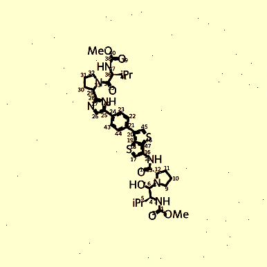 COC(=O)N[C@@H](C(C)C)C(O)N1CCC[C@H]1C(=O)Nc1csc2c(-c3ccc(-c4cnc(C5CCCN5C(=O)[C@@H](NC(=O)OC)C(C)C)[nH]4)cc3)csc12